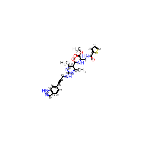 COC(=O)C(CNC(=O)c1cccs1)NC(=O)c1c(C)nc(NCC#Cc2ccc3cn[nH]c3c2)nc1C